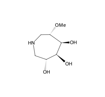 CO[C@H]1CNC[C@@H](O)[C@H](O)[C@@H]1O